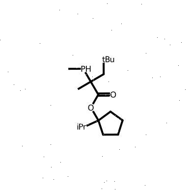 CPC(C)(CC(C)(C)C)C(=O)OC1(C(C)C)CCCC1